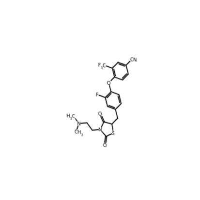 CN(C)CCN1C(=O)SC(Cc2ccc(Oc3ccc(C#N)cc3C(F)(F)F)c(F)c2)C1=O